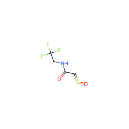 O=S=CC(=O)NCC(F)(F)F